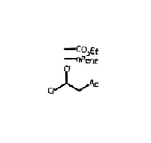 CC(=O)CC(Cl)Cl.CCCCCC.CCOC(C)=O